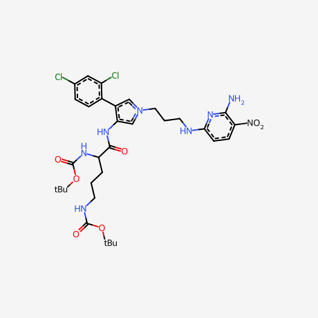 CC(C)(C)OC(=O)NCCCC(NC(=O)OC(C)(C)C)C(=O)Nc1cn(CCCNc2ccc([N+](=O)[O-])c(N)n2)cc1-c1ccc(Cl)cc1Cl